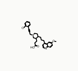 COc1ccc2nccc(CCCC3CCN(CC#Cc4ccccc4Cl)CC3CCC(=O)O)c2c1